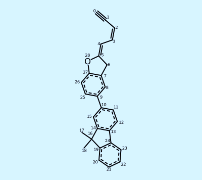 C#C/C=C\C=C1/Cc2cc(-c3ccc4c(c3)C(C)(C)c3ccccc3-4)ccc2O1